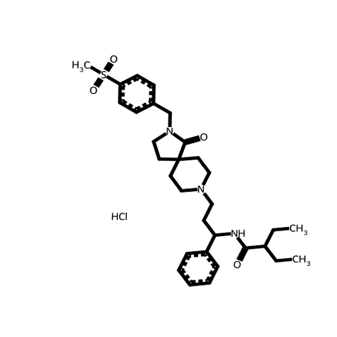 CCC(CC)C(=O)NC(CCN1CCC2(CC1)CCN(Cc1ccc(S(C)(=O)=O)cc1)C2=O)c1ccccc1.Cl